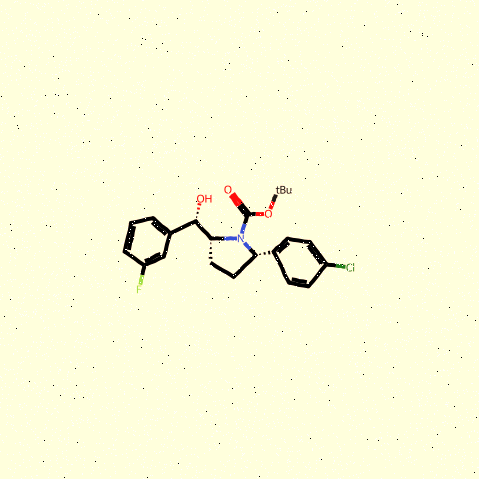 CC(C)(C)OC(=O)N1[C@@H]([C@@H](O)c2cccc(F)c2)CC[C@H]1c1ccc(Cl)cc1